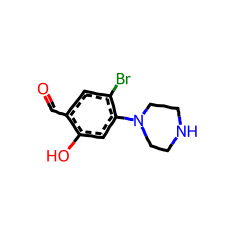 O=Cc1cc(Br)c(N2CCNCC2)cc1O